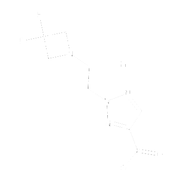 O=C([O-])c1cnn(CCN2CC(F)(F)C2)n1.[Li+]